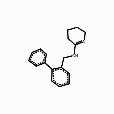 c1ccc(-c2ccccc2CNC2=NCCCC2)cc1